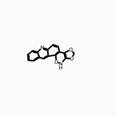 c1ccc2nc3ccc4c(c3cc2c1)ONC1=C4OCO1